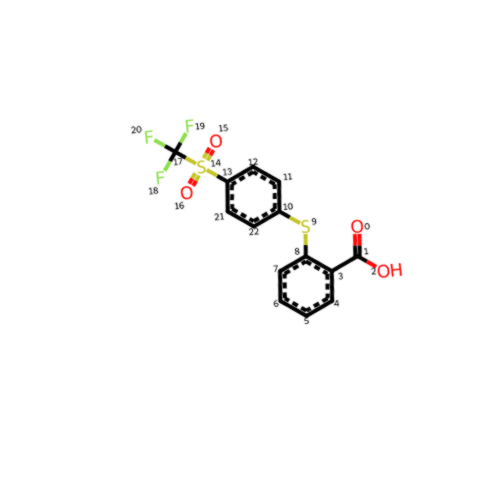 O=C(O)c1ccccc1Sc1ccc(S(=O)(=O)C(F)(F)F)cc1